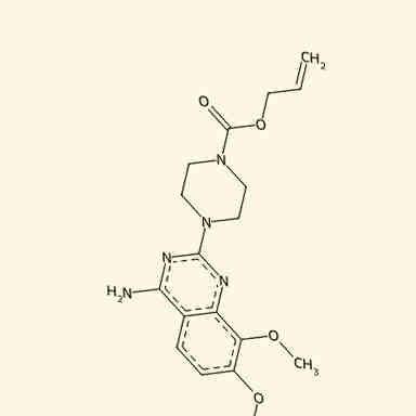 C=CCOC(=O)N1CCN(c2nc(N)c3ccc(OC)c(OC)c3n2)CC1